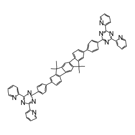 CC1(C)c2cc(-c3ccc(-c4nc(-c5ccccn5)nc(-c5ccccn5)n4)cc3)ccc2-c2cc3c(cc21)-c1ccc(-c2ccc(-c4nc(-c5ccccn5)nc(-c5ccccn5)n4)cc2)cc1C3(C)C